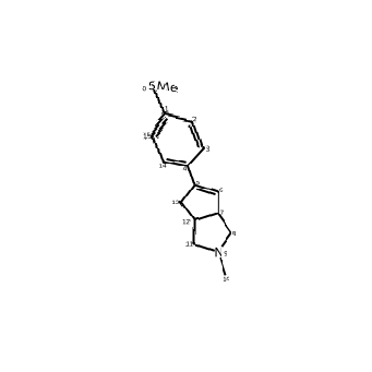 CSc1ccc(C2=CC3CN(C)CC3C2)cc1